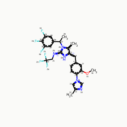 C=c1/c(=C/c2ccc(-n3cnc(C)c3)c(OC)c2)[nH]/c(=N\CC(F)(F)F)n1C(C)c1cc(F)c(F)c(F)c1